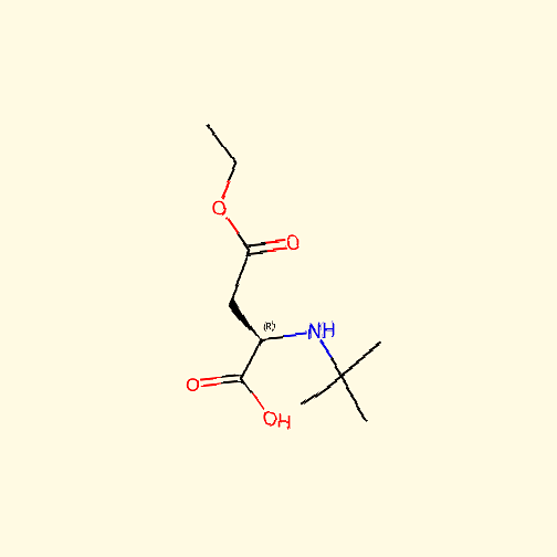 CCOC(=O)C[C@@H](NC(C)(C)C)C(=O)O